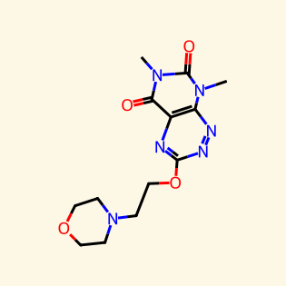 Cn1c(=O)c2nc(OCCN3CCOCC3)nnc2n(C)c1=O